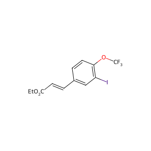 CCOC(=O)/C=C/c1ccc(OC(F)(F)F)c(I)c1